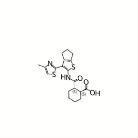 Cc1csc(-c2c(NC(=O)[C@H]3CCCC[C@@H]3C(=O)O)sc3c2CCC3)n1